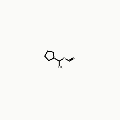 CC(OC=O)N1CCCC1